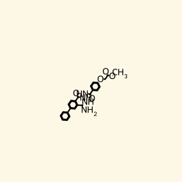 COC(=O)COc1ccc(C(=O)NNC(=O)c2ccc(-c3ccccc3)cc2C(=N)N)cc1